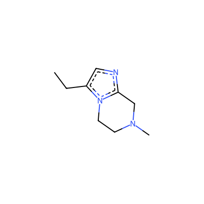 CCc1cnc2n1CCN(C)C2